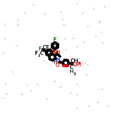 CC(C)(O)C12CCC(C(=O)N3CC[C@]4(S(=O)(=O)c5ccc(F)cc5)c5ccc(C(F)(C(F)(F)F)C(F)(F)F)cc5CC[C@H]34)(CC1)CC2